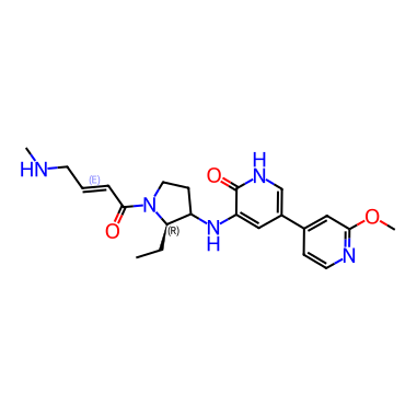 CC[C@@H]1C(Nc2cc(-c3ccnc(OC)c3)c[nH]c2=O)CCN1C(=O)/C=C/CNC